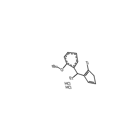 CCC(C1=[C]([Ti])CC=C1)c1ccccc1OC(C)(C)C.Cl.Cl